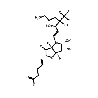 CCCCC(C)([C@H](O)/C=C/[C@@H]1[C@H]2C(F)[C@@H](/C=C/CCC(=O)[O-])O[C@@H]2C[C@H]1O)C(F)(F)F.[Na+]